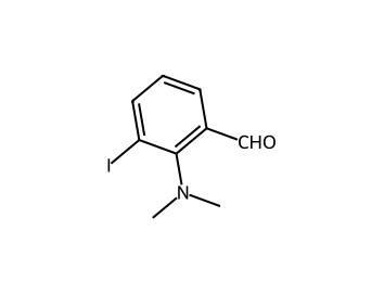 CN(C)c1c(I)cccc1C=O